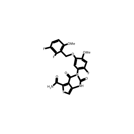 COc1cc(F)c(-n2c(=O)[nH]c3csc(C(N)=O)c3c2=O)cc1OCc1c(OC)ccc(F)c1F